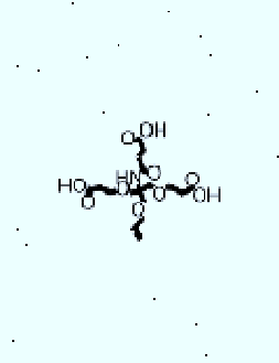 C=CCOCC(COCCC(=O)O)(COCCC(=O)O)NC(=O)CCC(=O)O